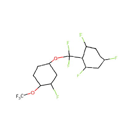 FC1CC(F)C(C(F)(F)OC2CCC(OC(F)(F)F)C(F)C2)C(F)C1